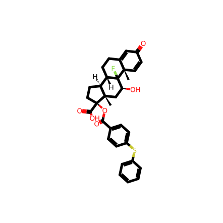 C[C@]12C=CC(=O)C=C1CC[C@H]1[C@@H]3CC[C@@](OC(=O)c4ccc(Sc5ccccc5)cc4)(C(=O)O)[C@@]3(C)C[C@H](O)C12F